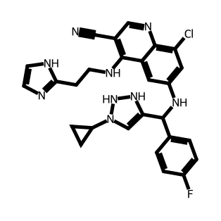 N#Cc1cnc2c(Cl)cc(NC(C3=CN(C4CC4)NN3)c3ccc(F)cc3)cc2c1NCCc1ncc[nH]1